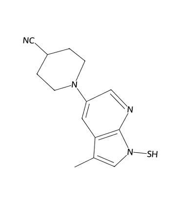 Cc1cn(S)c2ncc(N3CCC(C#N)CC3)cc12